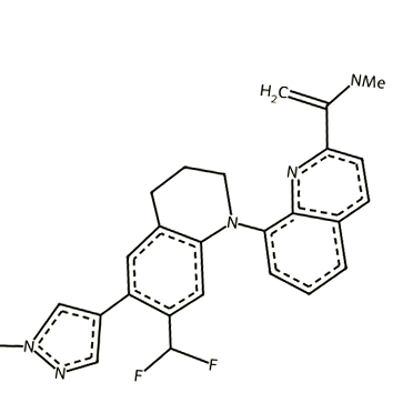 C=C(NC)c1ccc2cccc(N3CCCc4cc(-c5cnn(C)c5)c(C(F)F)cc43)c2n1